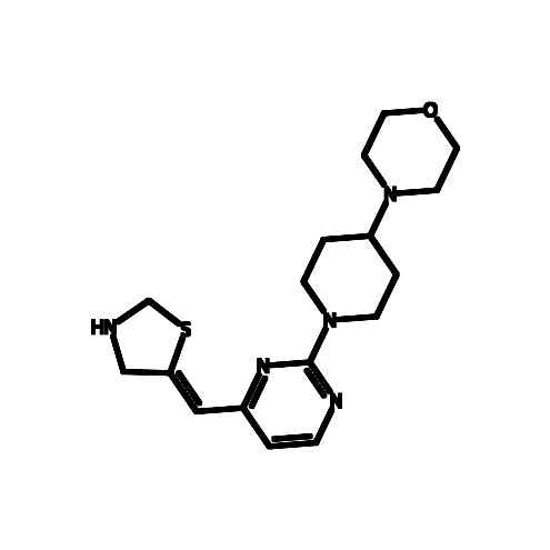 C(=C1CNCS1)c1ccnc(N2CCC(N3CCOCC3)CC2)n1